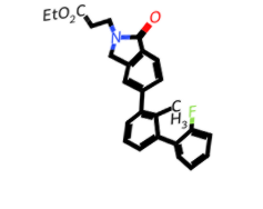 CCOC(=O)CCN1Cc2cc(-c3cccc(-c4ccccc4F)c3C)ccc2C1=O